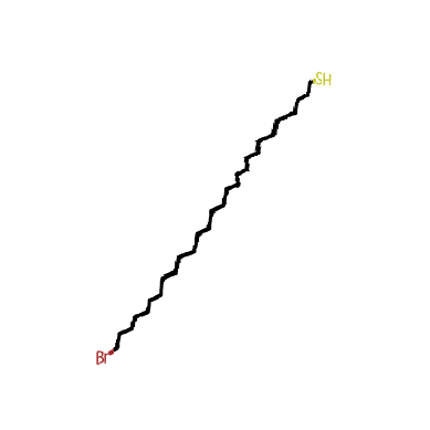 SCCCCCCCCCCCCCCCCCCCCCCCCCCCCBr